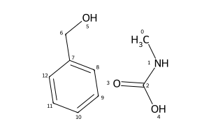 CNC(=O)O.OCc1ccccc1